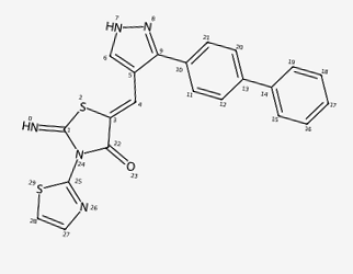 N=C1S/C(=C\c2c[nH]nc2-c2ccc(-c3ccccc3)cc2)C(=O)N1c1nccs1